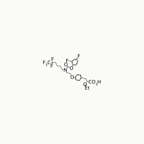 CCOC(Cc1ccc(OCCN(CCCCC(F)(F)C(F)(F)F)C(=O)Oc2ccc(F)cc2F)cc1)C(=O)O